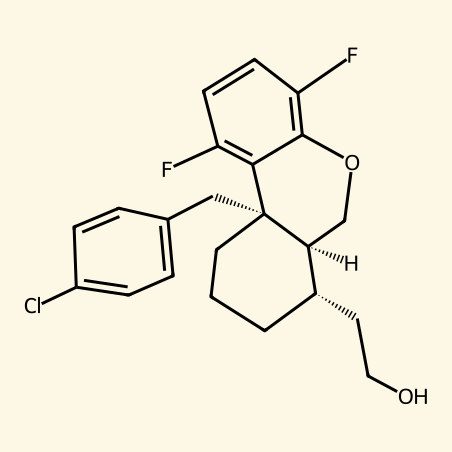 OCC[C@@H]1CCC[C@@]2(Cc3ccc(Cl)cc3)c3c(F)ccc(F)c3OC[C@@H]12